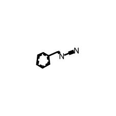 N#CN=Cc1ccccc1